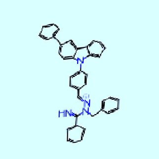 N=C(c1ccccc1)N(Cc1ccccc1)/N=C/c1ccc(-n2c3ccccc3c3cc(-c4ccccc4)ccc32)cc1